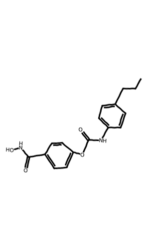 CCCc1ccc(NC(=O)Oc2ccc(C(=O)NO)cc2)cc1